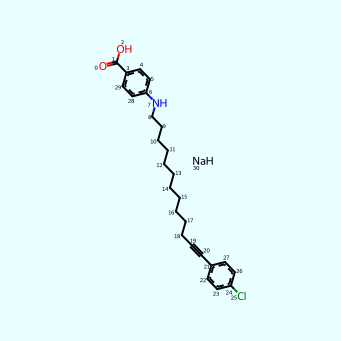 O=C(O)c1ccc(NCCCCCCCCCCCC#Cc2ccc(Cl)cc2)cc1.[NaH]